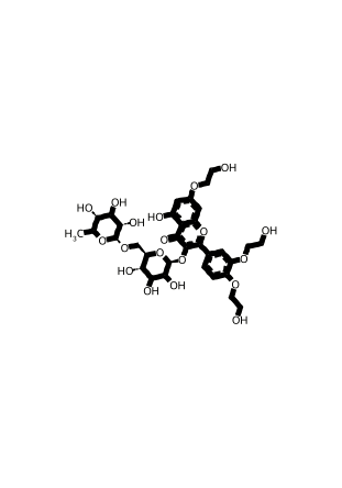 CC1O[C@@H](OC[C@H]2O[C@@H](Oc3c(-c4ccc(OCCO)c(OCCO)c4)oc4cc(OCCO)cc(O)c4c3=O)C(O)C(O)[C@@H]2O)[C@@H](O)C(O)[C@H]1O